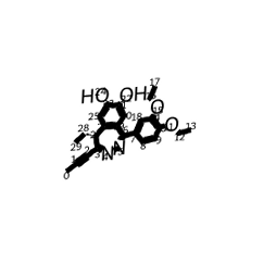 CC#CC1=NN=C(c2ccc(OCC)c(OCC)c2)c2cc(O)c(O)cc2[C@H]1CC